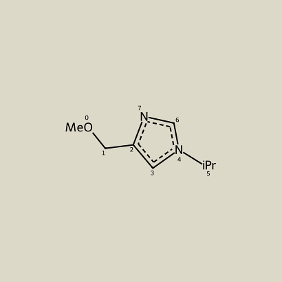 COCc1cn(C(C)C)cn1